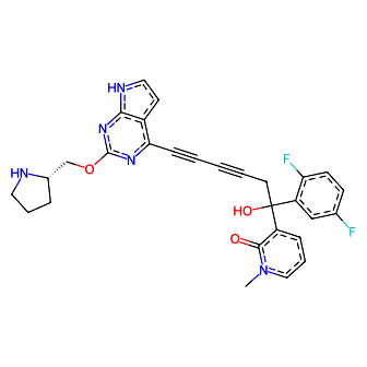 Cn1cccc(C(O)(CC#CC#Cc2nc(OC[C@@H]3CCCN3)nc3[nH]ccc23)c2cc(F)ccc2F)c1=O